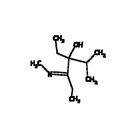 CCC(=NC)C(O)(CC)C(C)C